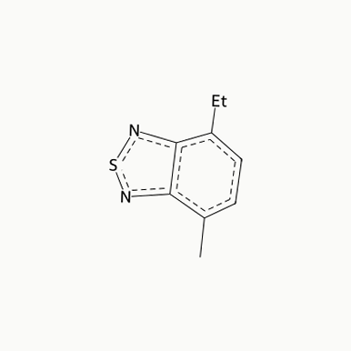 CCc1ccc(C)c2nsnc12